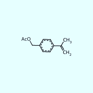 C=C(C)c1ccc(COC(C)=O)cc1